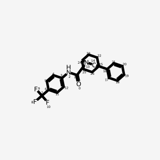 O=C(Nc1ccc(C(F)(F)F)cc1)N1CC2(c3ccccc3)CCC1CC2